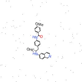 COc1ccc(C(=O)Nc2ccc(CC(C=O)Nc3ccc4cnccc4c3)cc2)cc1